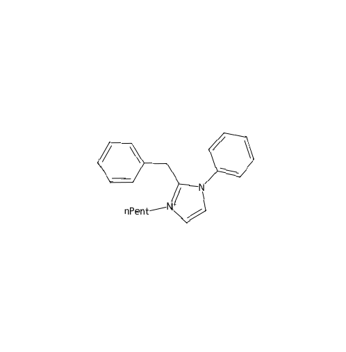 CCCCC[n+]1ccn(-c2ccccc2)c1Cc1ccccc1